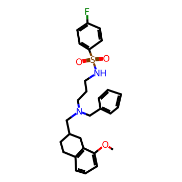 COc1cccc2c1CC(CN(CCCNS(=O)(=O)c1ccc(F)cc1)Cc1ccccc1)CC2